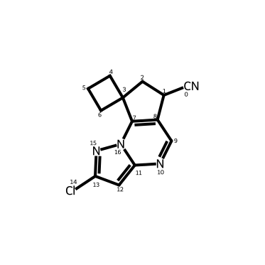 N#CC1CC2(CCC2)c2c1cnc1cc(Cl)nn21